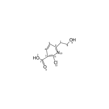 O=C(O)c1ccc(CCO)nc1Cl